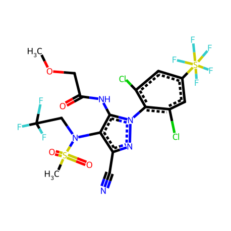 COCC(=O)Nc1c(N(CC(F)(F)F)S(C)(=O)=O)c(C#N)nn1-c1c(Cl)cc(S(F)(F)(F)(F)F)cc1Cl